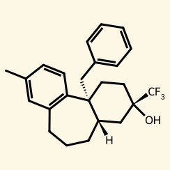 Cc1ccc2c(c1)CCC[C@H]1C[C@](O)(C(F)(F)F)CC[C@]21Cc1ccccc1